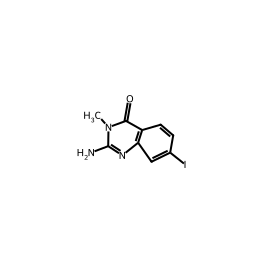 Cn1c(N)nc2cc(I)ccc2c1=O